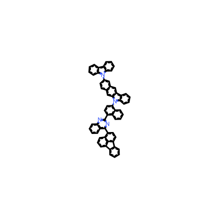 c1ccc2c(c1)-c1cccc3c(-c4nc(-c5ccc(-n6c7ccccc7c7cc8cc(-n9c%10ccccc%10c%10ccccc%109)ccc8cc76)c6ccccc56)nc5ccccc45)ccc-2c13